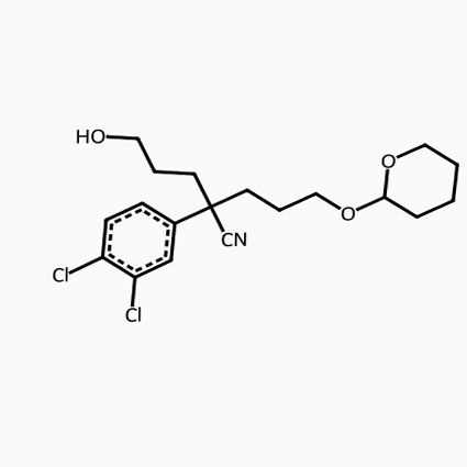 N#CC(CCCO)(CCCOC1CCCCO1)c1ccc(Cl)c(Cl)c1